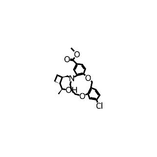 COC(=O)c1ccc2c(c1)N(C[C@@H]1CC[C@H]1[C@H](C)O)CCCOc1cc(Cl)ccc1CO2